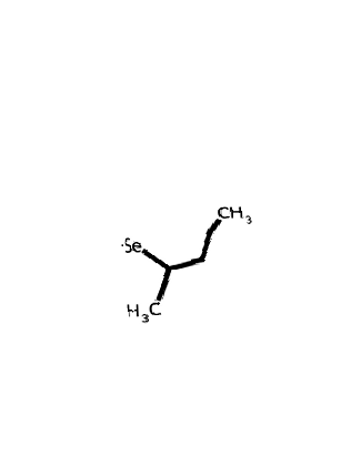 CCC(C)[Se]